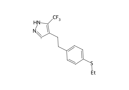 CCSc1ccc(CCc2[c]n[nH]c2C(F)(F)F)cc1